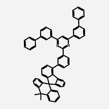 CC1(C)c2ccccc2C2(c3ccccc3-c3c(-c4cccc(-c5nc(-c6cccc(-c7ccccc7)c6)cc(-c6cccc(-c7ccccc7)c6)n5)c4)cccc32)c2ccccc21